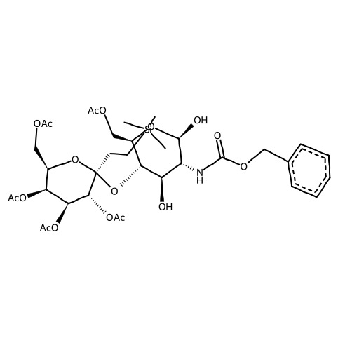 CC(=O)OC[C@H]1O[C@@](CC[Si](C)(C)C)(O[C@H]2[C@H](O)[C@@H](NC(=O)OCc3ccccc3)[C@H](O)O[C@@H]2COC(C)=O)[C@H](OC(C)=O)[C@@H](OC(C)=O)[C@H]1OC(C)=O